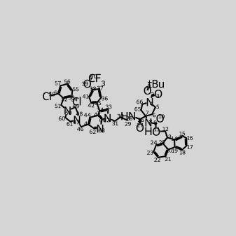 CC(C)(C)OC(=O)N1CCC(NC(=O)OCC2c3ccccc3-c3ccccc32)(C(=O)NCCCn2cc(-c3ccc(OC(F)(F)F)cc3)c3cc(CN4CCN(Cc5c(Cl)cccc5Cl)CC4)cnc32)CC1